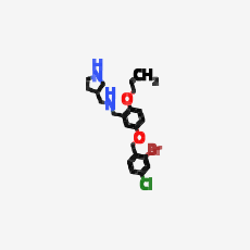 C=CCOc1ccc(OCc2ccc(Cl)cc2Br)cc1CNCC1CCNC1